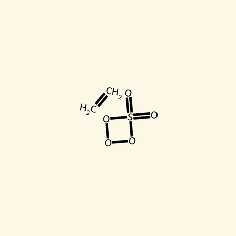 C=C.O=S1(=O)OOO1